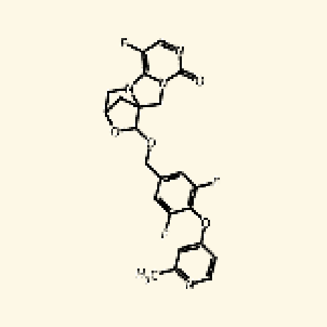 Cc1cc(Oc2c(F)cc(COC3OC4CN5c6c(F)cnc(=O)n6CC35C4)cc2F)ccn1